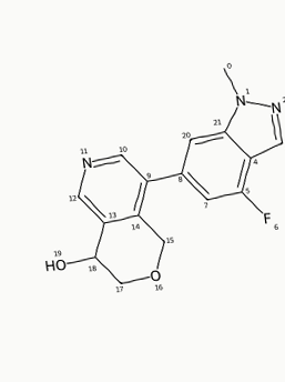 Cn1ncc2c(F)cc(-c3cncc4c3COCC4O)cc21